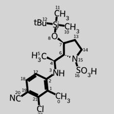 Cc1c(N[C@@H](C)[C@@H]2[C@@H](O[Si](C)(C)C(C)(C)C)CCN2S(=O)(=O)O)ccc(C#N)c1Cl